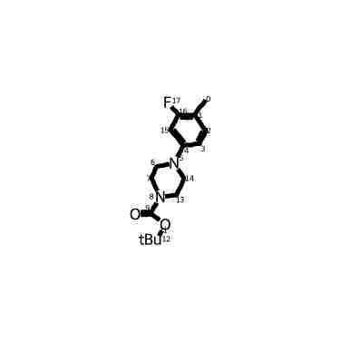 Cc1ccc(N2CCN(C(=O)OC(C)(C)C)CC2)cc1F